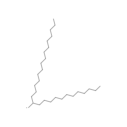 [CH2]C(CCCCCCCCCCCC)CCCCCCCCCCCCCCC